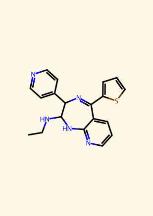 CCNC1Nc2ncccc2C(c2cccs2)=NC1c1ccncc1